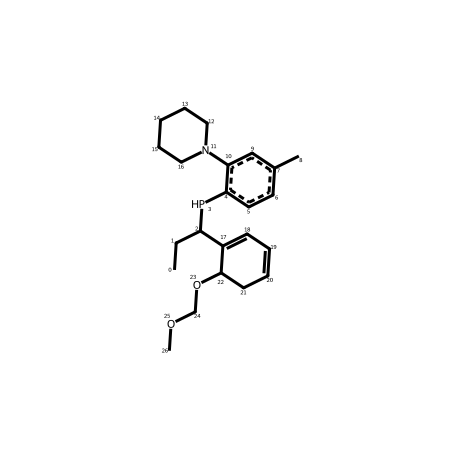 CCC(Pc1ccc(C)cc1N1CCCCC1)C1=CC=CCC1OCOC